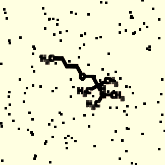 C=CC=COCC(C)(C)[SiH](C)C